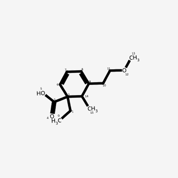 CCC1(C(=O)O)C=CC=C(CCOC)C1C